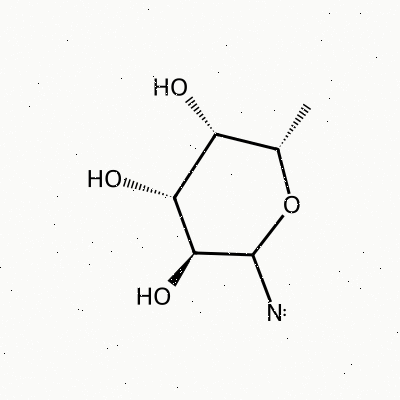 C[C@@H]1OC([N])[C@@H](O)[C@H](O)[C@@H]1O